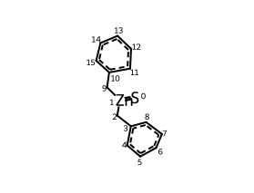 [S]=[Zn]([CH2]c1ccccc1)[CH2]c1ccccc1